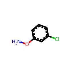 NOc1cccc(Cl)c1